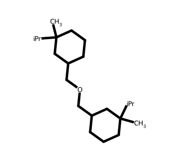 CC(C)C1(C)CCCC(COCC2CCCC(C)(C(C)C)C2)C1